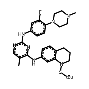 Cc1cnc(Nc2ccc(N3CCN(C)CC3)c(F)c2)nc1Nc1ccc2c(c1)N(SC(C)(C)C)CCC2